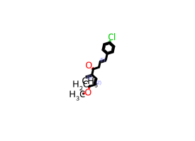 C=C(/C=C\C(=C/C)C(=O)C/C=C/c1ccc(Cl)cc1)OC